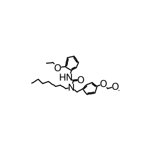 CCCCCCCN(Cc1ccc(OCOC)cc1)C(=O)Nc1ccccc1OCC